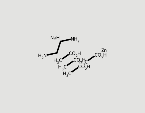 CC(=O)O.CC(=O)O.CC(=O)O.CC(=O)O.NCCN.[NaH].[Zn]